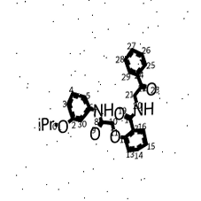 CC(C)Oc1cccc(NC(=O)COc2ccccc2C(=O)NCC(=O)c2ccccc2)c1